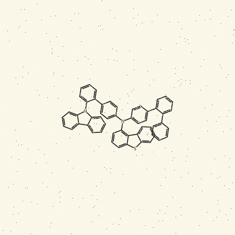 c1ccc(-c2ccccc2-c2ccc(N(c3ccc(-c4ccccc4-n4c5ccccc5c5ccccc54)cc3)c3cccc4sc5ccccc5c34)cc2)cc1